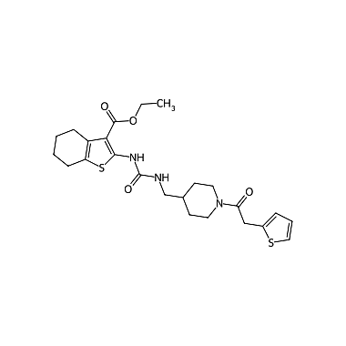 CCOC(=O)c1c(NC(=O)NCC2CCN(C(=O)Cc3cccs3)CC2)sc2c1CCCC2